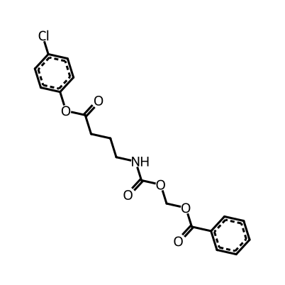 O=C(CCCNC(=O)OCOC(=O)c1ccccc1)Oc1ccc(Cl)cc1